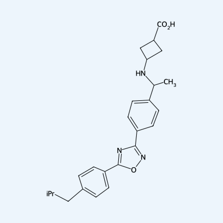 CC(C)Cc1ccc(-c2nc(-c3ccc(C(C)NC4CC(C(=O)O)C4)cc3)no2)cc1